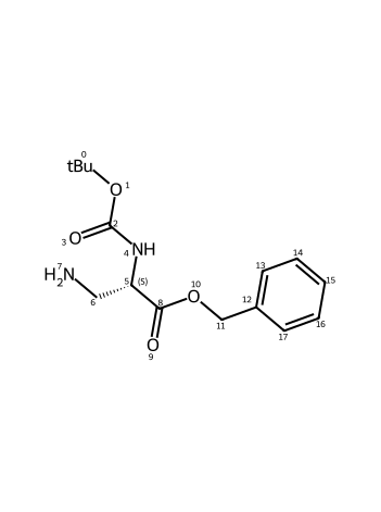 CC(C)(C)OC(=O)N[C@@H](CN)C(=O)OCc1ccccc1